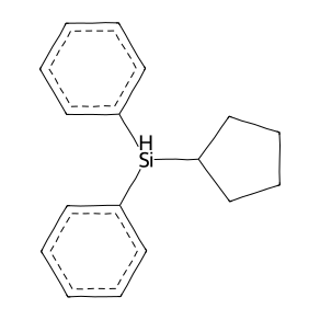 c1ccc([SiH](c2ccccc2)C2CCCC2)cc1